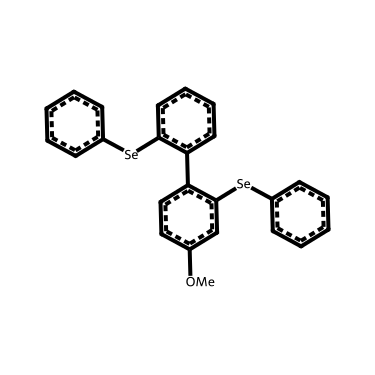 COc1ccc(-c2ccccc2[Se]c2ccccc2)c([Se]c2ccccc2)c1